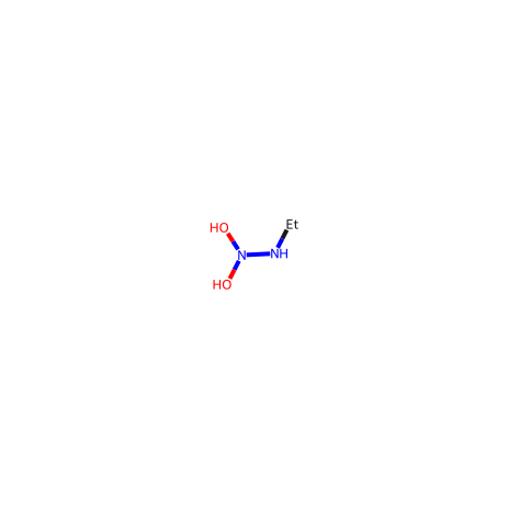 CCNN(O)O